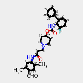 Cc1cc(NC(=O)CCN2CCC(OC(=O)Nc3c(F)cccc3-c3ccccc3)CC2)c(C)cc1C=O